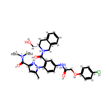 CCCCN(CCCC)C(=O)c1cc(C)n(-c2ccc(NC(=O)COc3ccc(Cl)cc3)cc2C(=O)N2Cc3ccccc3C[C@H]2CO)n1